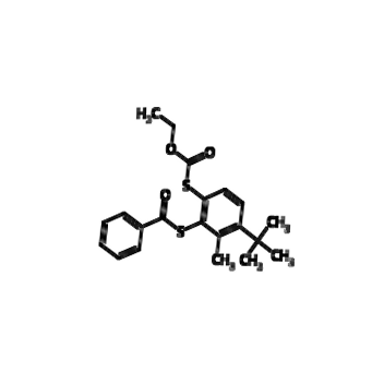 CCOC(=O)Sc1ccc(C(C)(C)C)c(C)c1SC(=O)c1ccccc1